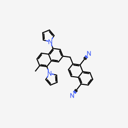 Cc1ccc2c(-n3cccc3)cc(Cc3ccc4c(C#N)cccc4c3C#N)cc2c1-n1cccc1